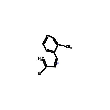 C=C(/C=C\c1ccccc1C)CC